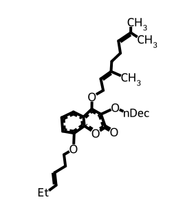 CC/C=C/CCOc1cccc2c(OC/C=C(\C)CCC=C(C)C)c(OCCCCCCCCCC)c(=O)oc12